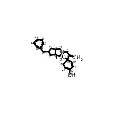 C=C(CN1CC2CC(Cc3ccccc3)CC2C1)C1(C)C=CC(O)=CC1